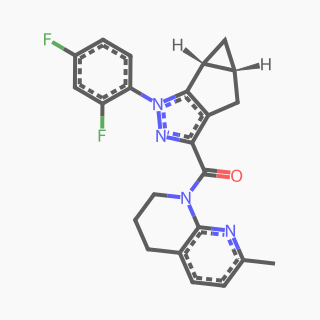 Cc1ccc2c(n1)N(C(=O)c1nn(-c3ccc(F)cc3F)c3c1C[C@H]1C[C@@H]31)CCC2